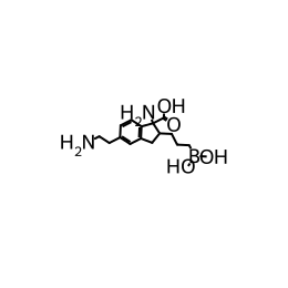 NCCc1ccc2c(c1)CC(CCCB(O)O)C2(N)C(=O)O